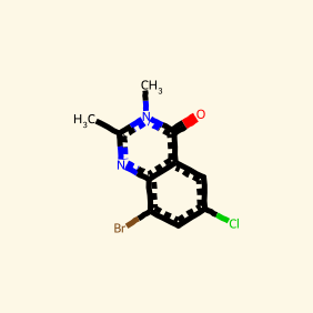 Cc1nc2c(Br)cc(Cl)cc2c(=O)n1C